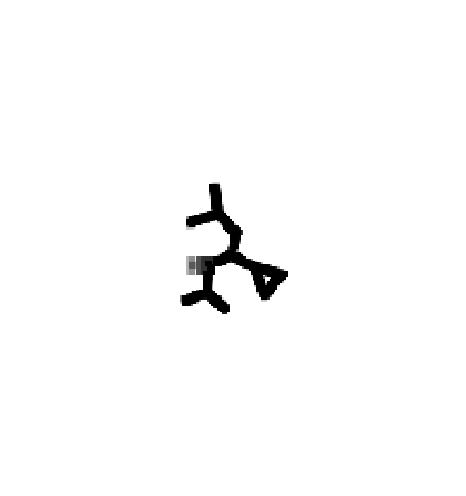 CC(C)C[C@H](NC(C)C)C1CC1